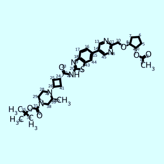 CC(=O)O[C@H]1CCC[C@@H]1OCc1ncc(-c2ccc3nc(NC(=O)[C@H]4C[C@@H](N5CCN(C(=O)OC(C)(C)C)C[C@@H]5C)C4)sc3c2)cn1